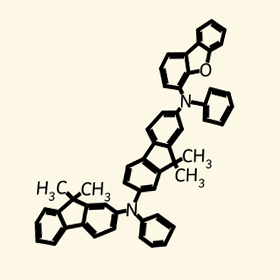 CC1(C)c2ccccc2-c2ccc(N(c3ccccc3)c3ccc4c(c3)C(C)(C)c3cc(N(c5ccccc5)c5cccc6c5oc5ccccc56)ccc3-4)cc21